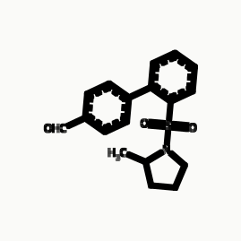 CC1CCCN1S(=O)(=O)c1ccccc1-c1ccc(C=O)cc1